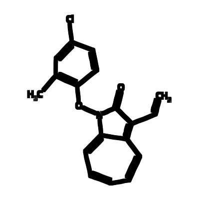 C=Cc1c2cccccc-2n(Oc2ccc(Cl)cc2C)c1=O